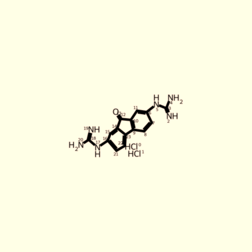 Cl.Cl.N=C(N)Nc1ccc2c(c1)C(=O)c1cc(NC(=N)N)ccc1-2